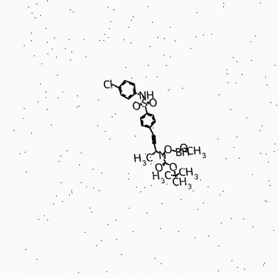 COBON(C(=O)OC(C)(C)C)C(C)C#Cc1ccc(S(=O)(=O)Nc2ccc(Cl)cc2)cc1